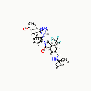 CC(=O)[C@H]1C[C@@](c2cccc(N3Cc4c(cc(CNC5(C)CCC5)cc4C(F)(F)F)C3=O)c2)(c2nncn2C)C1